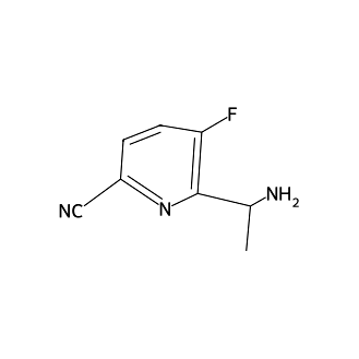 CC(N)c1nc(C#N)ccc1F